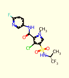 C[C@@H](NS(=O)(=O)c1cn(C)c(C(=O)Nc2ccc(F)nc2)c1Cl)C(F)(F)F